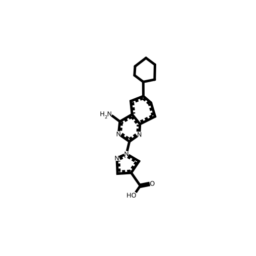 Nc1nc(-n2cc(C(=O)O)cn2)nc2ccc(C3CCCCC3)cc12